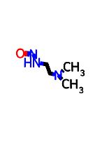 CN(C)CCNN=O